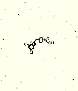 O=C(CO)N1CCN(Cc2cc3cc(Cl)cc(Cl)c3o2)CC1